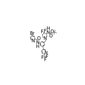 CC(C)(C)OC(=O)N[C@@H]1CN(Cc2cc(NC(=O)c3cc(Br)ccn3)cc(-c3ccc(C(F)(F)F)nc3)c2)CCC1(F)F